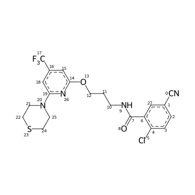 N#Cc1ccc(Cl)c(C(=O)NCCCOc2cc(C(F)(F)F)cc(N3CCSCC3)n2)c1